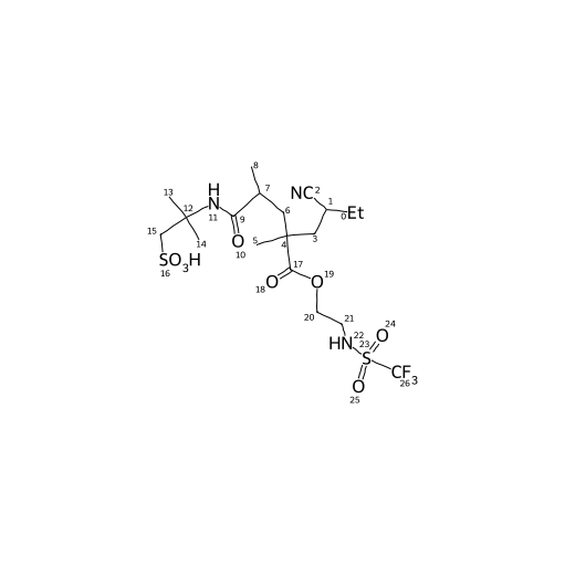 CCC(C#N)CC(C)(CC(C)C(=O)NC(C)(C)CS(=O)(=O)O)C(=O)OCCNS(=O)(=O)C(F)(F)F